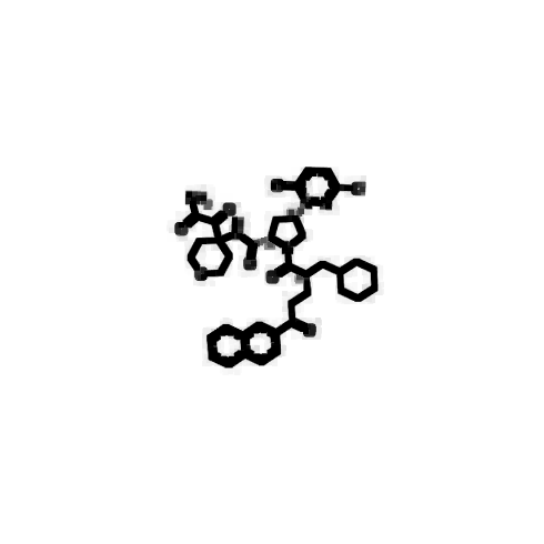 NC(=O)C(=O)C1(NC(=O)[C@@H]2C[C@H](n3nc(Cl)ccc3=O)CN2C(=O)[C@H](CCC(=O)c2ccc3ccccc3c2)CC2CCCCC2)CCOCC1